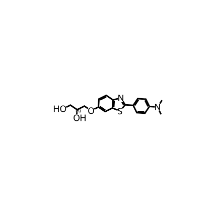 CN(C)c1ccc(-c2nc3ccc(OC[C@@H](O)CO)cc3s2)cc1